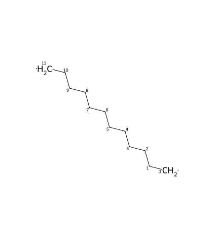 [CH2]CCCCCCCCCC[CH2]